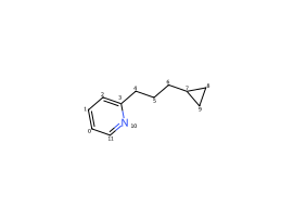 c1ccc(CCCC2CC2)nc1